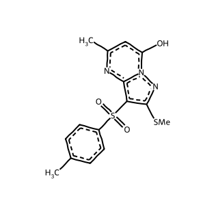 CSc1nn2c(O)cc(C)nc2c1S(=O)(=O)c1ccc(C)cc1